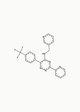 FC(F)(F)c1ccc(-c2nnc(-c3ccccn3)nc2NCc2cccnc2)cc1